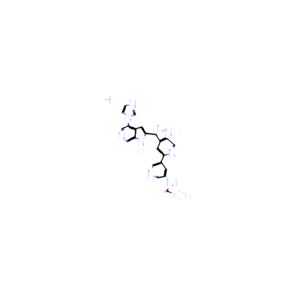 Cc1cn(-c2cncc3[nH]c(-c4n[nH]c5cnc(-c6cncc(NC(=O)C(C)(C)C)c6)cc45)cc23)cn1